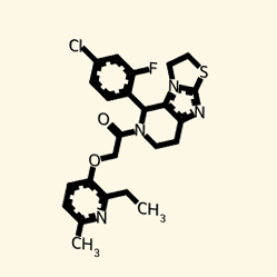 CCc1nc(C)ccc1OCC(=O)N1CCc2nc3n(c2C1c1ccc(Cl)cc1F)CCS3